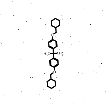 CC(C)(c1ccc(OCC2CCCCC2)cc1)c1ccc(OCC2CCCCC2)cc1